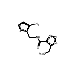 CSCc1[nH]nnc1C(=O)NCc1sccc1C